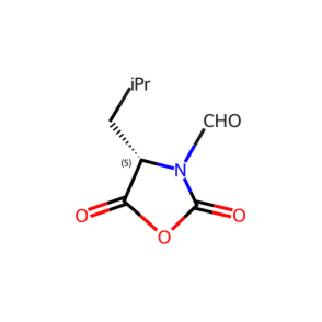 CC(C)C[C@H]1C(=O)OC(=O)N1C=O